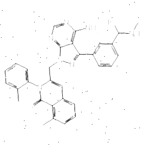 CNC(O)c1cccc(-c2nn(Cc3cc4cccc(C)c4c(=O)n3-c3ccccc3C)c3ncnc(N)c23)c1